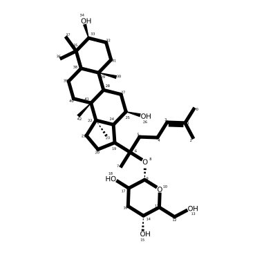 CC(C)=CCCC(C)(O[C@@H]1OC(CO)[C@H](O)CC1O)C1CC[C@]2(C)C1[C@H](O)CC1[C@@]3(C)CC[C@H](O)C(C)(C)C3CC[C@]12C